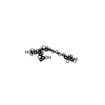 C[C@H](CN1CCC(OCCOCCOCCOCCOc2ccc3c(c2)C(=O)N(C2CCC(=O)NC2=O)C3=O)CC1)Oc1nc(N2CCN(C(=O)C(O)O)CC2)c2cc(Cl)c(-c3cc(O)cc4ccccc34)c(F)c2n1